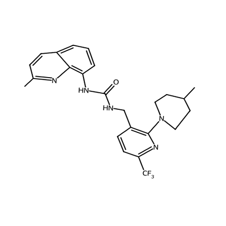 Cc1ccc2cccc(NC(=O)NCc3ccc(C(F)(F)F)nc3N3CCC(C)CC3)c2n1